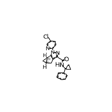 O=C(NC1(c2ccccc2)CC1)c1nn(-c2ccc(Cl)cn2)c2c1C[C@@H]1C[C@H]21